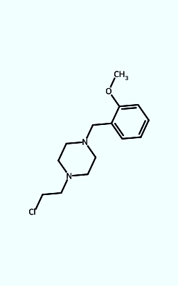 COc1ccccc1CN1CCN(CCCl)CC1